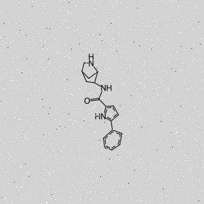 O=C(NC1CC2CNC1C2)c1ccc(-c2ccccc2)[nH]1